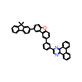 CC1(C)c2ccccc2-c2ccc(-c3ccc4oc5ccc(-c6cccc(-c7cnc8c9ccccc9c9ccccc9c8n7)c6)cc5c4c3)cc21